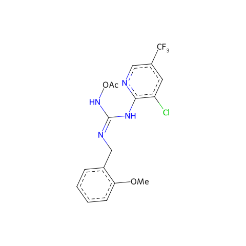 COc1ccccc1CN=C(NOC(C)=O)Nc1ncc(C(F)(F)F)cc1Cl